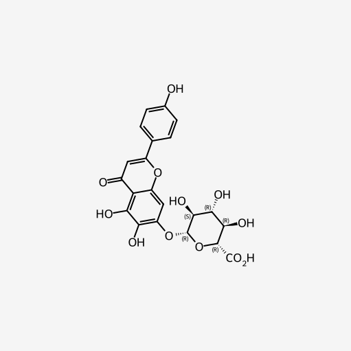 O=C(O)[C@@H]1O[C@H](Oc2cc3oc(-c4ccc(O)cc4)cc(=O)c3c(O)c2O)[C@@H](O)[C@H](O)[C@H]1O